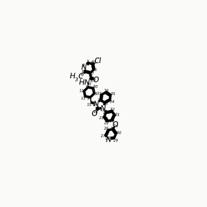 Cc1ncc(Cl)cc1C(=O)N[C@H]1CC[C@H](Cn2c(=O)n(-c3ccc(Oc4ccncc4)cc3)c3ccccc32)CC1